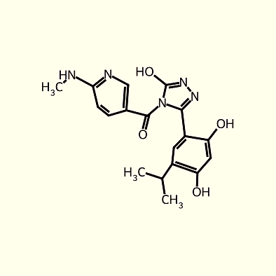 CNc1ccc(C(=O)n2c(O)nnc2-c2cc(C(C)C)c(O)cc2O)cn1